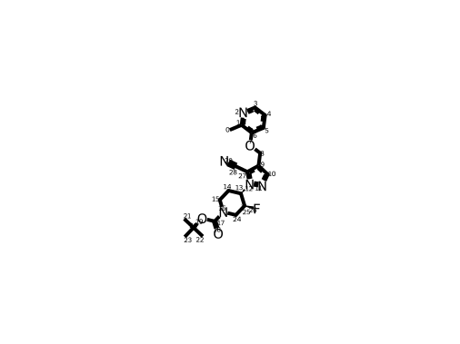 Cc1ncccc1OCc1cnn([C@H]2CCN(C(=O)OC(C)(C)C)C[C@@H]2F)c1C#N